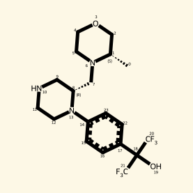 C[C@H]1COCCN1C[C@H]1CNCCN1c1ccc(C(O)(C(F)(F)F)C(F)(F)F)cc1